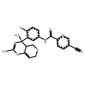 C[C@]1(c2cc(NC(=O)c3ccc(C#N)cn3)ccc2F)N=C(N)OC2=CCOCC21